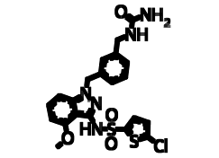 COc1cccc2c1c(NS(=O)(=O)c1ccc(Cl)s1)nn2Cc1cccc(CNC(N)=O)c1